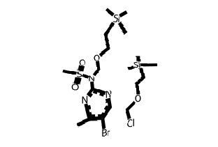 C[Si](C)(C)CCOCCl.Cc1nc(N(COCC[Si](C)(C)C)S(C)(=O)=O)ncc1Br